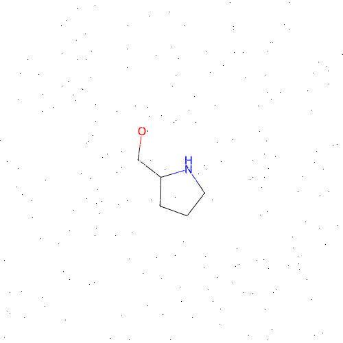 [O]CC1CCCN1